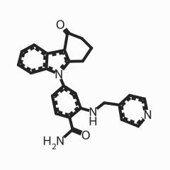 NC(=O)c1ccc(-n2c3c(c4ccccc42)C(=O)CCC3)cc1NCc1ccncc1